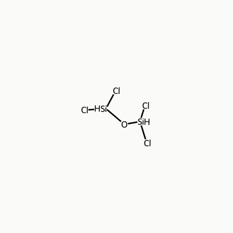 Cl[SiH](Cl)O[SiH](Cl)Cl